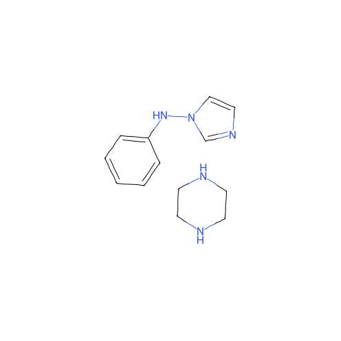 C1CNCCN1.c1ccc(Nn2ccnc2)cc1